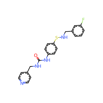 O=C(NCc1ccncc1)Nc1ccc(SNCc2cccc(F)c2)cc1